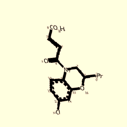 CC(C)C1CN(C(=O)C=CC(=O)O)c2ccc(Cl)cc2O1